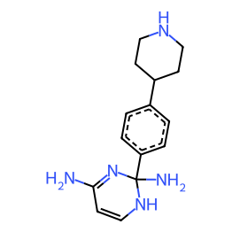 NC1=NC(N)(c2ccc(C3CCNCC3)cc2)NC=C1